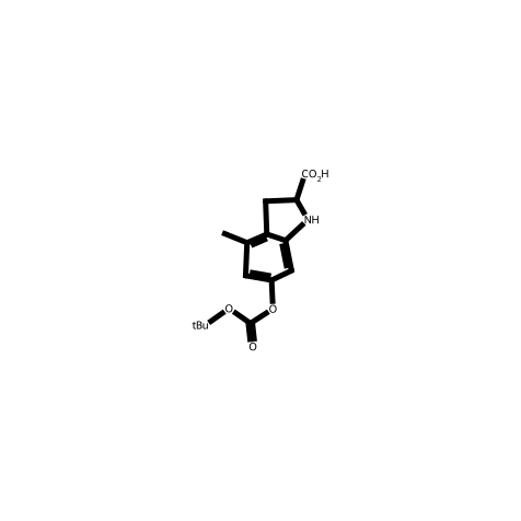 Cc1cc(OC(=O)OC(C)(C)C)cc2c1CC(C(=O)O)N2